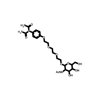 CC(=O)NC1C(OCCOCCOCCOc2ccc(N(C(N)=O)C(N)=O)cc2)OC(CO)C(O)C1O